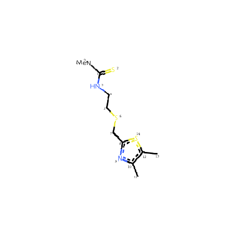 CNC(=S)NCCSCc1nc(C)c(C)s1